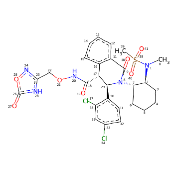 CN([C@H]1CCCC[C@@H]1N1C(=O)c2ccccc2[C@@H](C(=O)NOCc2noc(=O)[nH]2)[C@@H]1c1ccc(Cl)cc1Cl)S(C)(=O)=O